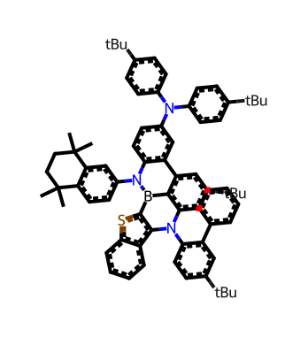 CC(C)(C)c1ccc(N(c2ccc(C(C)(C)C)cc2)c2ccc3c(c2)-c2cc(C(C)(C)C)cc4c2B(c2sc5ccccc5c2N4c2ccc(C(C)(C)C)cc2-c2ccccc2)N3c2ccc3c(c2)C(C)(C)CCC3(C)C)cc1